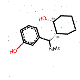 CNC(c1cccc(O)c1)[C@H]1CCCC[C@H]1O